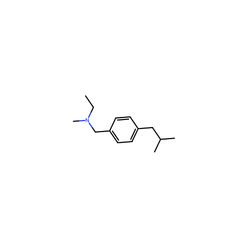 CCN(C)Cc1ccc(CC(C)C)cc1